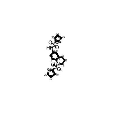 O=S(=O)(Nc1ccc2c(c1)CCCN2S(=O)(=O)c1cccs1)c1cccs1